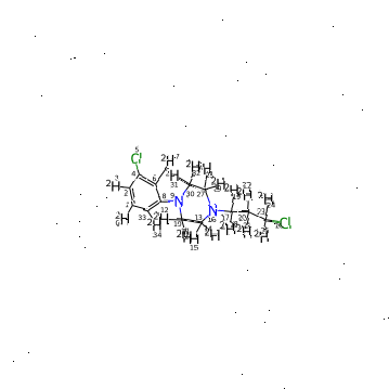 [2H]c1c([2H])c(Cl)c([2H])c(N2C([2H])([2H])C([2H])([2H])N(C([2H])([2H])C([2H])([2H])C([2H])([2H])Cl)C([2H])([2H])C2([2H])[2H])c1[2H]